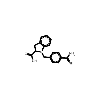 N=C(N)c1ccc(CN2c3ccccc3CC2C(=O)O)cc1